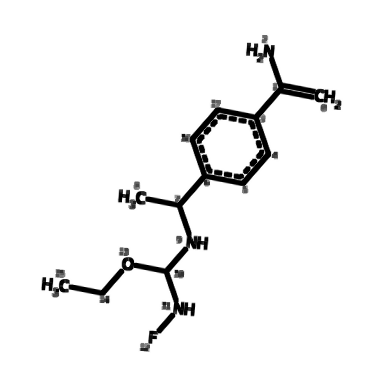 C=C(N)c1ccc(C(C)NC(NF)OCC)cc1